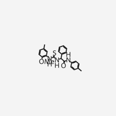 COc1ccc(C)cc1NC(=S)NC(C(=O)Nc1ccc(C)cc1)c1ccccc1